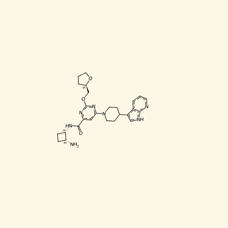 N[C@@H]1CC[C@@H]1NC(=O)c1cc(N2CCC(c3c[nH]c4ncccc34)CC2)nc(OC[C@H]2CCCO2)n1